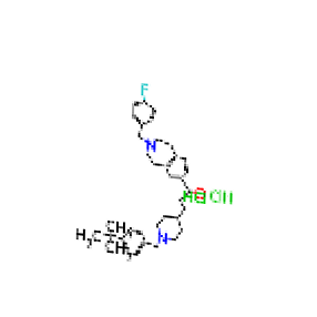 CC(C)(C)c1ccc(CN2CCC(CCC(=O)c3ccc4c(c3)CCN(Cc3ccc(F)cc3)CC4)CC2)cc1.Cl.Cl